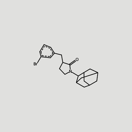 O=C1C(Cc2cccc(Br)c2)CCN1C1C2CC3CC(C2)CC1C3